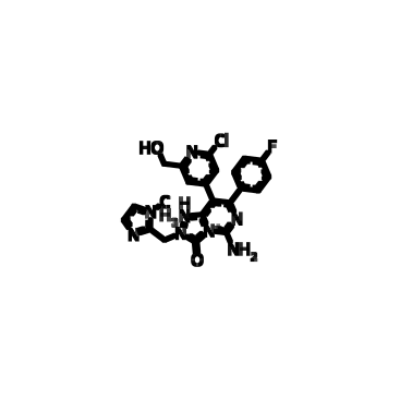 Cn1ccnc1Cn1[nH]c2c(-c3cc(Cl)nc(CO)c3)c(-c3ccc(F)cc3)nc(N)[n+]2c1=O